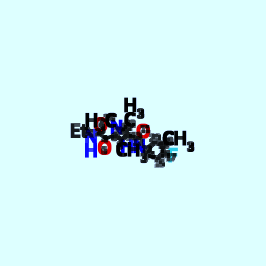 CCNC(=O)C(=O)c1c(C)c(C(=O)Nc2ccc(F)c(C)c2)c(C)n1C